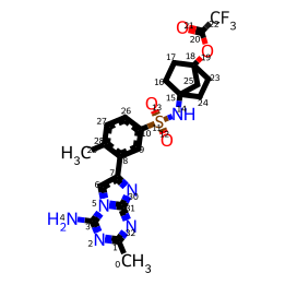 Cc1nc(N)n2cc(-c3cc(S(=O)(=O)NC45CCC(OC(=O)C(F)(F)F)(CC4)C5)ccc3C)nc2n1